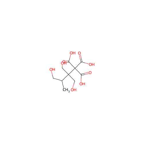 CC(CO)C(CO)(CO)C(C(=O)O)(C(=O)O)C(=O)O